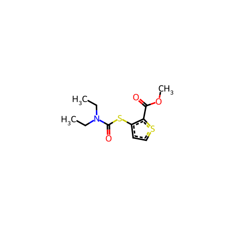 CCN(CC)C(=O)Sc1ccsc1C(=O)OC